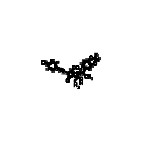 C[C@@H](N[C@](C)(O)N1C(=O)[C@H](C#Cc2ccc(Cl)nc2)[C@H]1C(=O)O)c1ccc2c(c1)OC(F)(F)O2